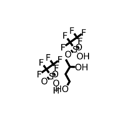 CC(O)CCO.O=S(=O)(O)C(F)(F)C(F)(F)F.O=S(=O)(O)C(F)(F)C(F)(F)F